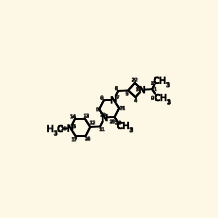 CC(C)N1CC(CN2CCN(CC3CCN(C)CC3)C(C)C2)C1